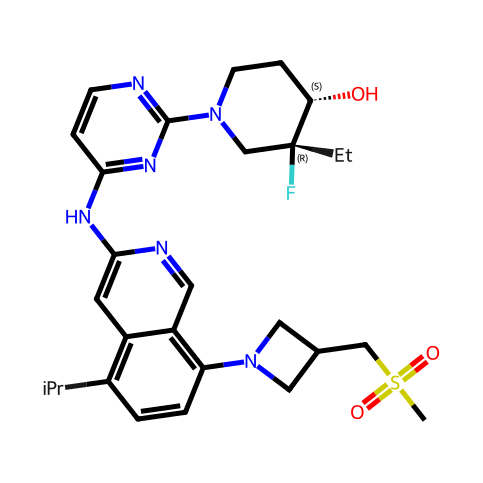 CC[C@@]1(F)CN(c2nccc(Nc3cc4c(C(C)C)ccc(N5CC(CS(C)(=O)=O)C5)c4cn3)n2)CC[C@@H]1O